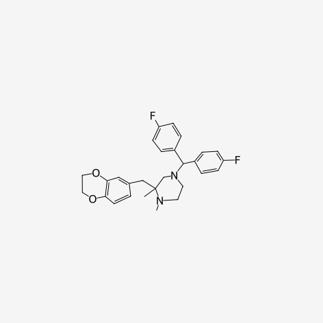 CN1CCN(C(c2ccc(F)cc2)c2ccc(F)cc2)CC1(C)Cc1ccc2c(c1)OCCO2